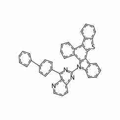 c1ccc(-c2ccc(-c3nc(-n4c5ccccc5c5c6sc7ccccc7c6c6ccccc6c54)nc4cccnc34)cc2)cc1